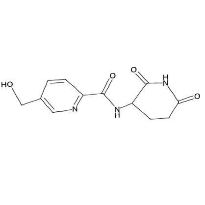 O=C1CCC(NC(=O)c2ccc(CO)cn2)C(=O)N1